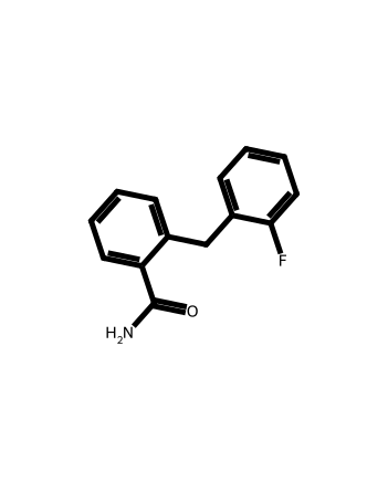 NC(=O)c1ccccc1Cc1ccccc1F